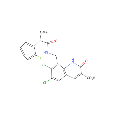 COC(C(=O)NCc1c(Cl)c(Cl)cc2cc(C(=O)O)c(=O)[nH]c12)c1ccccc1F